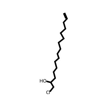 C=CCCCCCCCCCCCCC(O)CCl